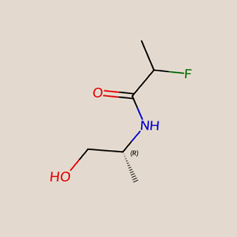 CC(F)C(=O)N[C@H](C)CO